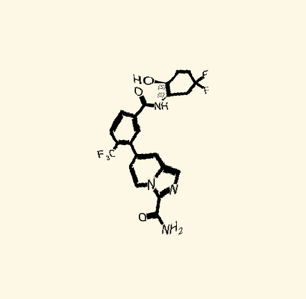 NC(=O)c1ncc2cc(-c3cc(C(=O)N[C@H]4CC(F)(F)CC[C@@H]4O)ccc3C(F)(F)F)ccn12